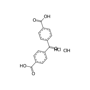 Cl.Cl.O=C(O)c1ccc(C(=O)c2ccc(C(=O)O)cc2)cc1